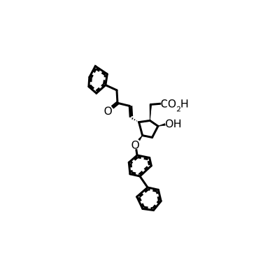 O=C(O)C[C@@H]1[C@@H](C=CC(=O)Cc2ccccc2)[C@H](Oc2ccc(-c3ccccc3)cc2)C[C@@H]1O